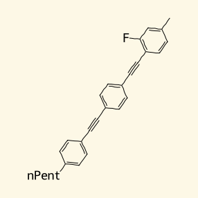 CCCCCc1ccc(C#Cc2ccc(C#Cc3ccc(C)cc3F)cc2)cc1